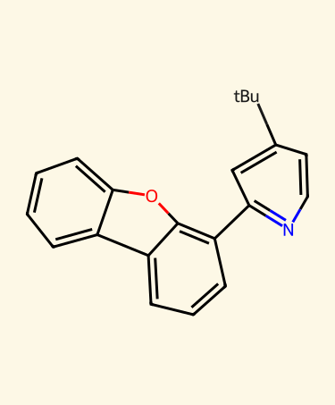 CC(C)(C)c1ccnc(-c2cccc3c2oc2ccccc23)c1